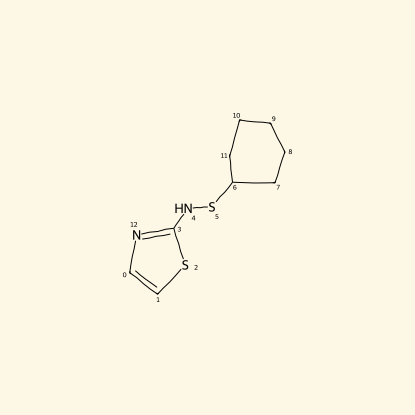 c1csc(NSC2CCCCC2)n1